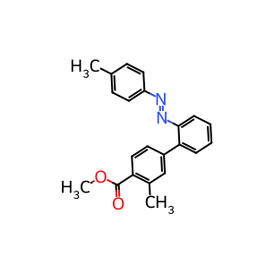 COC(=O)c1ccc(-c2ccccc2/N=N/c2ccc(C)cc2)cc1C